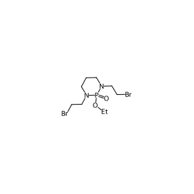 CCOP1(=O)N(CCBr)CCCN1CCBr